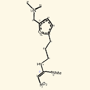 CN/C(=C\[N+](=O)[O-])NCCCc1ccc(CN(C)C)o1